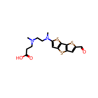 CN(CCC(=O)O)CCN(C)c1cc2sc3cc(C=O)sc3c2s1